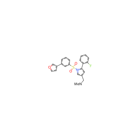 CNCc1cc(-c2ccccc2F)n(S(=O)(=O)c2cccc(-c3ccoc3)c2)c1